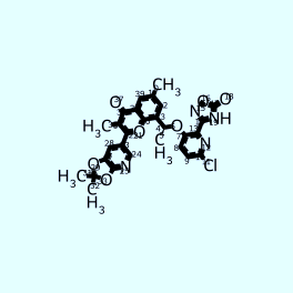 Cc1cc([C@@H](C)Oc2ccc(Cl)nc2-c2noc(=O)[nH]2)c2oc(-c3cnc4c(c3)OC(C)(C)O4)c(C)c(=O)c2c1